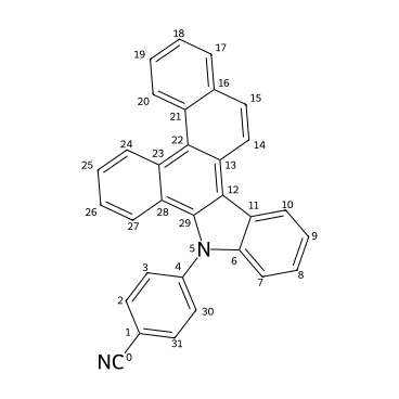 N#Cc1ccc(-n2c3ccccc3c3c4ccc5ccccc5c4c4ccccc4c32)cc1